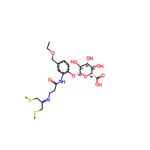 CCOCc1ccc(O[C@H]2O[C@@H](C(=O)O)[C@H](O)[C@@H](O)[C@@H]2O)c(NC(=O)CCN=C(CSC)CSC)c1